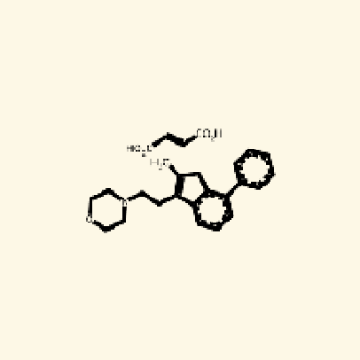 CC1=C(CCN2CCOCC2)c2cccc(-c3ccccc3)c2C1.O=C(O)C=CC(=O)O